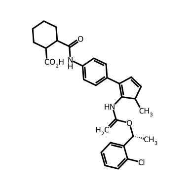 C=C(NC1=C(c2ccc(NC(=O)C3CCCCC3C(=O)O)cc2)C=CC1C)O[C@H](C)c1ccccc1Cl